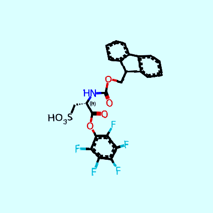 O=C(N[C@@H](CS(=O)(=O)O)C(=O)Oc1c(F)c(F)c(F)c(F)c1F)OCC1c2ccccc2-c2ccccc21